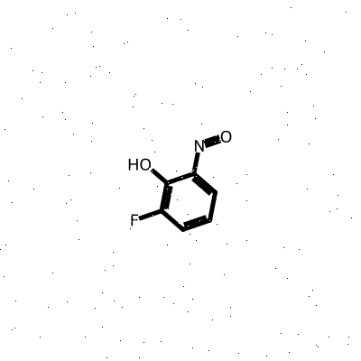 O=Nc1cccc(F)c1O